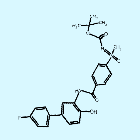 CC(C)(C)OC(=O)N=S(C)(=O)c1ccc(C(=O)Nc2cc(-c3ccc(F)cc3)ccc2O)cc1